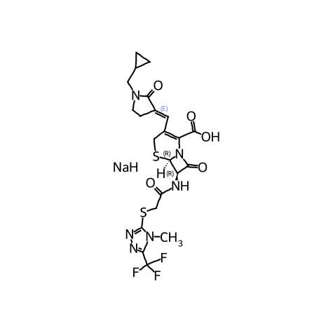 Cn1c(SCC(=O)N[C@@H]2C(=O)N3C(C(=O)O)=C(/C=C4\CCN(CC5CC5)C4=O)CS[C@H]23)nnc1C(F)(F)F.[NaH]